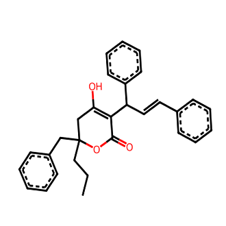 CCCC1(Cc2ccccc2)CC(O)=C(C(C=Cc2ccccc2)c2ccccc2)C(=O)O1